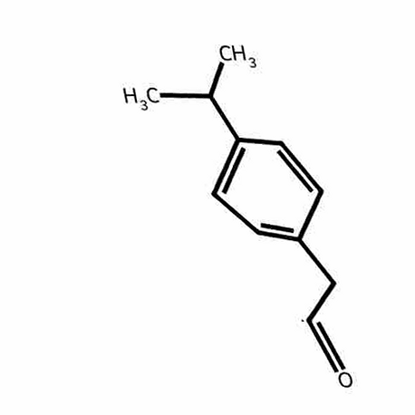 CC(C)c1ccc(C[C]=O)cc1